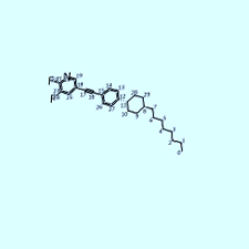 CCCCCCCC[C@H]1CC[C@H](c2ccc(C#Cc3cnc(F)c(F)c3)cc2)CC1